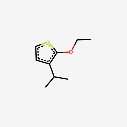 CCOc1sccc1C(C)C